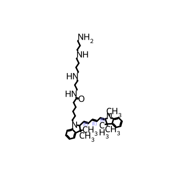 CN1/C(=C/C=C/C=C/C2N(CCCCCC(=O)NCCCNCCCCNCCCN)c3ccccc3C2(C)C)C(C)(C)c2ccccc21